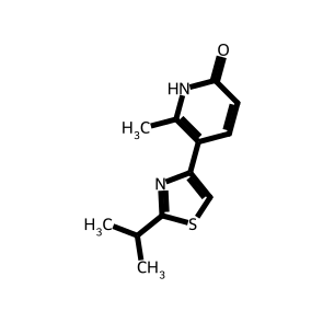 Cc1[nH]c(=O)ccc1-c1csc(C(C)C)n1